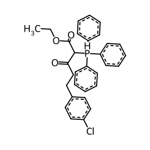 CCOC(=O)C(C(=O)CCc1ccc(Cl)cc1)[PH](c1ccccc1)(c1ccccc1)c1ccccc1